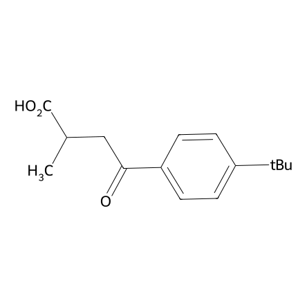 CC(CC(=O)c1ccc(C(C)(C)C)cc1)C(=O)O